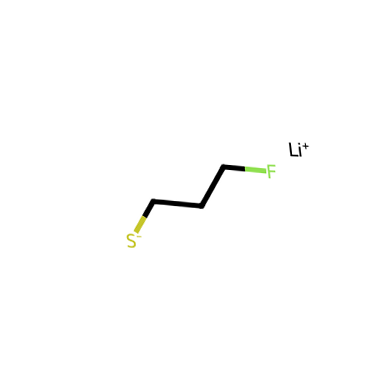 FCCC[S-].[Li+]